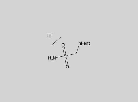 CC.CCCCCCS(N)(=O)=O.F